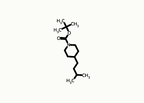 CC(C)CCC1CCN(C(=O)OC(C)(C)C)CC1